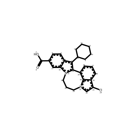 O=C(O)c1ccc2c(C3CCCCC3)c3n(c2c1)CCCn1cc(Cl)c2cccc-3c21